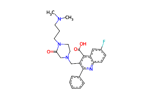 CN(C)CCCN1CCN(Cc2c(-c3ccccc3)nc3ccc(F)cc3c2C(=O)O)CC1=O